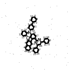 c1ccc(-c2ccc(N(c3ccccc3)c3ccc(-c4nc(-c5ccccc5)cc(-c5ccccc5)n4)c4c3oc3cc5ccccc5cc34)cc2)cc1